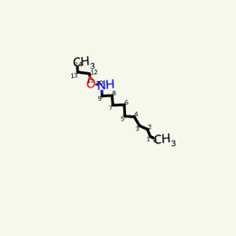 CCCCCCCCCCNOCCC